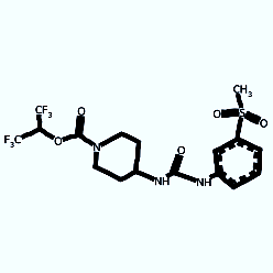 CS(=O)(=O)c1cccc(NC(=O)NC2CCN(C(=O)OC(C(F)(F)F)C(F)(F)F)CC2)c1